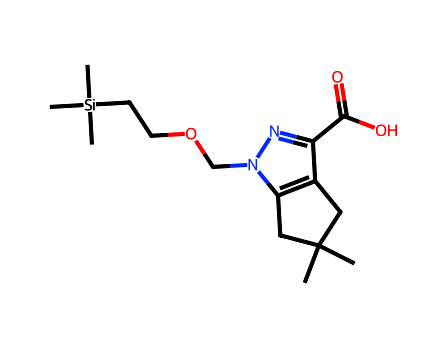 CC1(C)Cc2c(C(=O)O)nn(COCC[Si](C)(C)C)c2C1